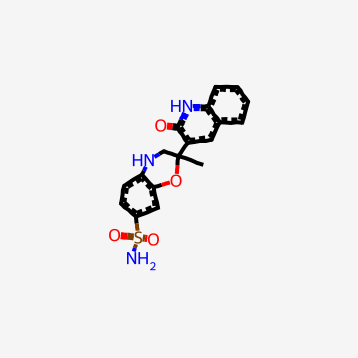 CC1(c2cc3ccccc3[nH]c2=O)CNc2ccc(S(N)(=O)=O)cc2O1